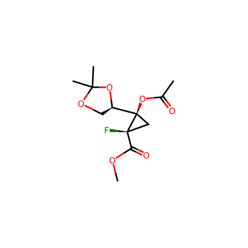 COC(=O)[C@@]1(F)C[C@@]1(OC(C)=O)[C@H]1COC(C)(C)O1